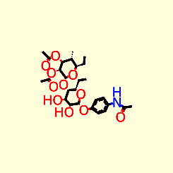 CC[C@H]1O[C@H](Oc2ccc(NC(C)=O)cc2)[C@@H](O)[C@@H](O)C1O[C@H]1O[C@H](CC)[C@@H](C)[C@H](OC(C)=O)[C@H]1OC(C)=O